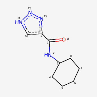 O=C(NC1CCCCC1)c1c[nH]nn1